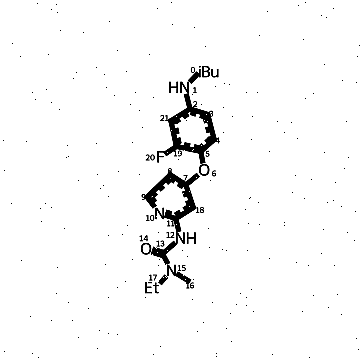 CCC(C)Nc1ccc(Oc2ccnc(NC(=O)N(C)CC)c2)c(F)c1